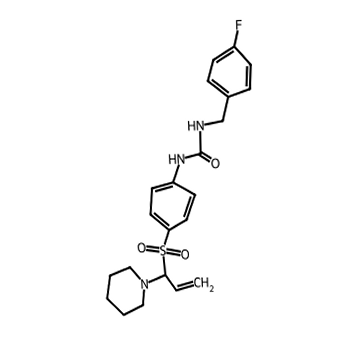 C=CC(N1CCCCC1)S(=O)(=O)c1ccc(NC(=O)NCc2ccc(F)cc2)cc1